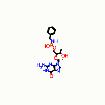 CC(O)C(COP(O)NCc1ccccc1)O[C@H](C)n1cnc2c(=O)[nH]c(N)nc21